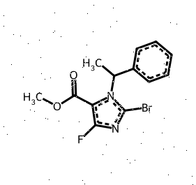 COC(=O)c1c(F)nc(Br)n1C(C)c1ccccc1